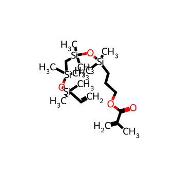 C=C[Si](C)(C)O[Si](C)(C)C[Si](C)(C)O[Si](C)(C)CCCOC(=O)C(=C)C